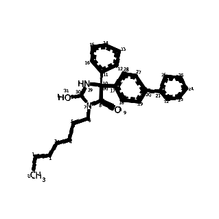 CCCCCCCN1C(=O)[C@@](c2ccccc2)(c2ccc(-c3ccccc3)cc2)NC1O